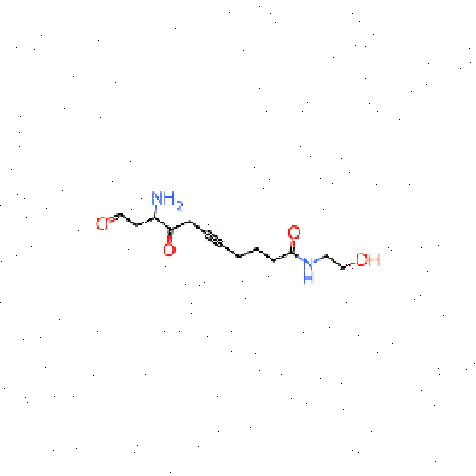 NC(CC=O)C(=O)CC#CCCCC(=O)NCCO